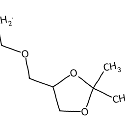 [CH2]COCC1COC(C)(C)O1